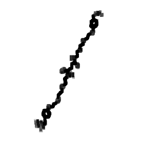 NCc1ccc(OCCOCCOCCNC(=O)CCC(=O)NCCOCCOCCOc2ccc(CN)cc2)cc1